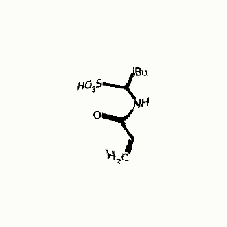 C=CC(=O)NC(C(C)CC)S(=O)(=O)O